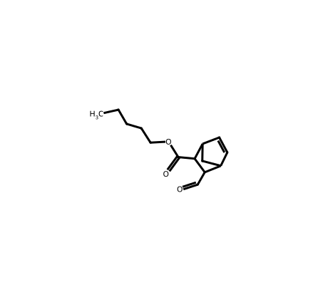 CCCCCOC(=O)C1C2C=CC(C2)C1C=O